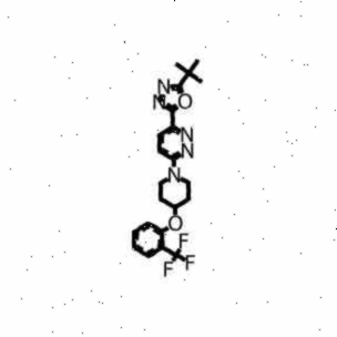 CC(C)(C)c1nnc(-c2ccc(N3CCC(Oc4ccccc4C(F)(F)F)CC3)nn2)o1